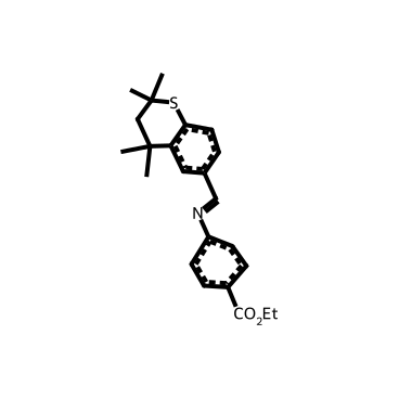 CCOC(=O)c1ccc(N=Cc2ccc3c(c2)C(C)(C)CC(C)(C)S3)cc1